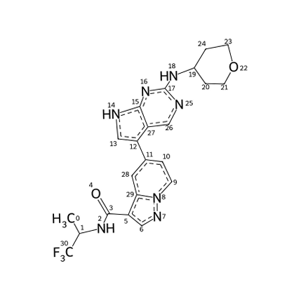 CC(NC(=O)c1cnn2ccc(-c3c[nH]c4nc(NC5CCOCC5)ncc34)cc12)C(F)(F)F